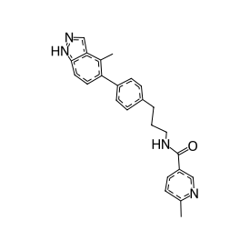 Cc1ccc(C(=O)NCCCc2ccc(-c3ccc4[nH]ncc4c3C)cc2)cn1